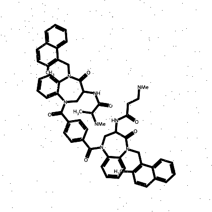 CNCCC(=O)NC1CN(C(=O)c2ccc(C(=O)N3CC(NC(=O)C(C)NC)C(=O)N(Cc4c(C)ccc5ccccc45)c4ccccc43)cc2)c2ccccc2N(Cc2c(C)ccc3ccccc23)C1=O